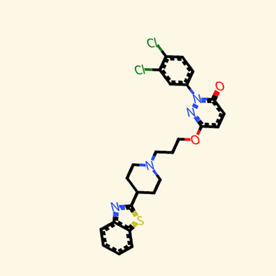 O=c1ccc(OCCCN2CCC(c3nc4ccccc4s3)CC2)nn1-c1ccc(Cl)c(Cl)c1